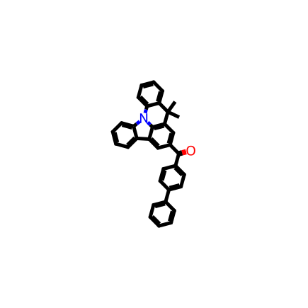 CC1(C)c2ccccc2-n2c3ccccc3c3cc(C(=O)c4ccc(-c5ccccc5)cc4)cc1c32